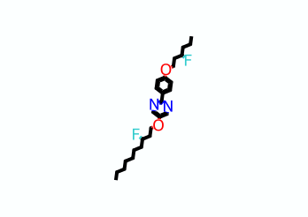 CCCCCCCC(F)CCOc1cnc(-c2ccc(OCCC(F)CCC)cc2)nc1